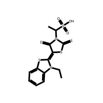 CCN1/C(=C2\SC(=S)N(C(C)S(=O)(=O)O)C2=O)Sc2ccccc21